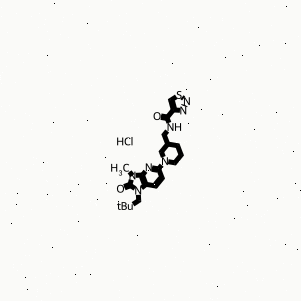 Cl.Cn1c(=O)n(CC(C)(C)C)c2ccc(N3CCCC(CNC(=O)c4csnn4)C3)nc21